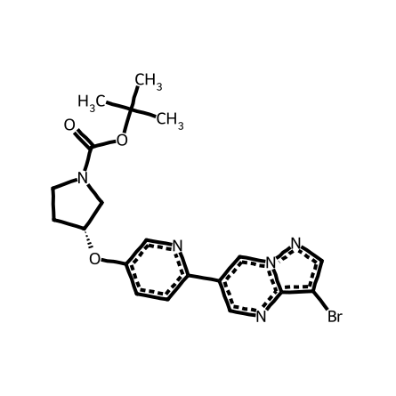 CC(C)(C)OC(=O)N1CC[C@@H](Oc2ccc(-c3cnc4c(Br)cnn4c3)nc2)C1